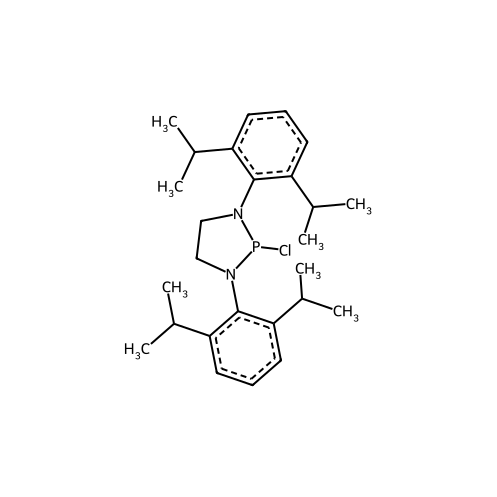 CC(C)c1cccc(C(C)C)c1N1CCN(c2c(C(C)C)cccc2C(C)C)P1Cl